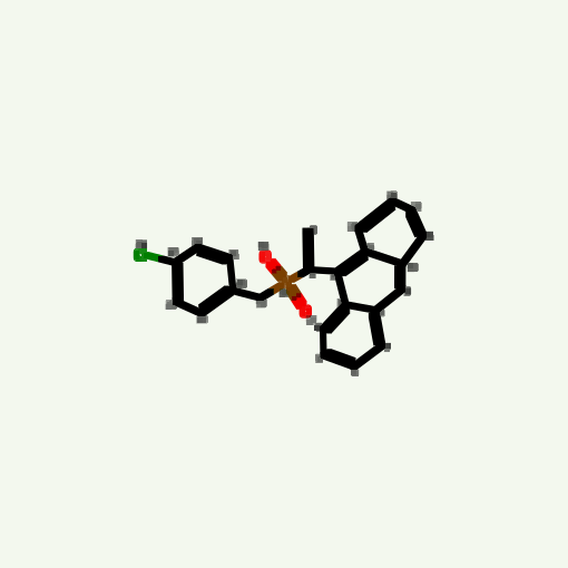 C=C(c1c2ccccc2cc2ccccc12)S(=O)(=O)Cc1ccc(Cl)cc1